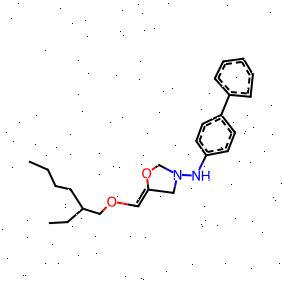 CCCCC(CC)COC=C1CN(Nc2ccc(-c3ccccc3)cc2)CO1